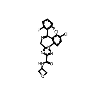 O=C(NC1COC1)c1nc2n(n1)-c1ccc(Cl)c(Cl)c1C(c1c(F)cccc1F)=NC2